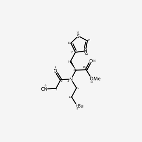 [C-]#[N+]CC(=O)N(CCC(C)(C)C)[C@@H](Cc1cscn1)C(=O)OC